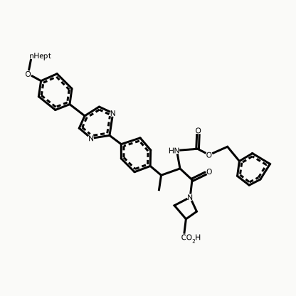 CCCCCCCOc1ccc(-c2cnc(-c3ccc(C(C)C(NC(=O)OCc4ccccc4)C(=O)N4CC(C(=O)O)C4)cc3)nc2)cc1